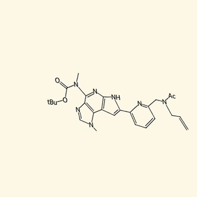 C=CCN(Cc1cccc(-c2cc3c(nc(N(C)C(=O)OC(C)(C)C)c4ncn(C)c43)[nH]2)n1)C(C)=O